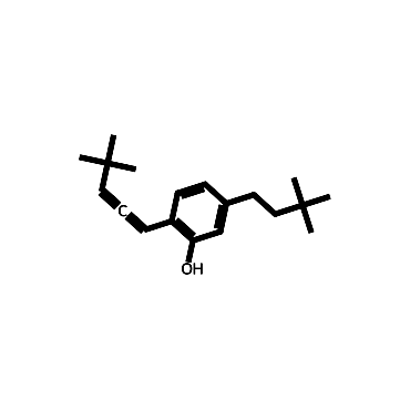 CC(C)(C)C=C=Cc1ccc(CCC(C)(C)C)cc1O